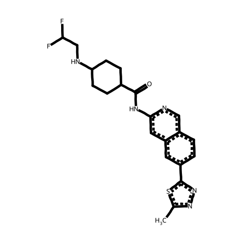 Cc1nnc(-c2ccc3cnc(NC(=O)C4CCC(NCC(F)F)CC4)cc3c2)s1